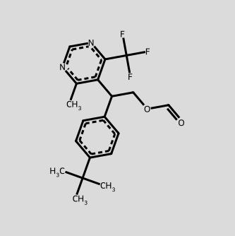 Cc1ncnc(C(F)(F)F)c1C(COC=O)c1ccc(C(C)(C)C)cc1